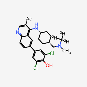 [2H]C([2H])([2H])N(C)C[C@H]1CC[C@H](Nc2c(C(C)=O)cnc3ccc(-c4cc(Cl)c(O)c(Cl)c4)cc23)CC1